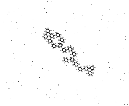 c1ccc(-c2cccc(-c3nc(-c4cccc(-c5cccc(-c6cccc(-c7nc(-c8ccccc8)nc(-c8ccc(-c9cccc(-c%10ccc%11c%12ccccc%12c%12ccccc%12c%11c%10)c9)cc8)n7)c6)c5)c4)nc(-c4cccc(-c5cccc(-c6ccc7c8ccccc8c8ccccc8c7c6)c5)c4)n3)c2)cc1